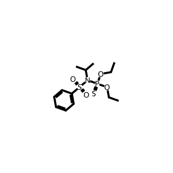 CCOP(=S)(OCC)N(C(C)C)S(=O)(=O)c1ccccc1